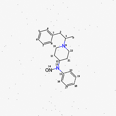 CC(Cc1ccccc1)N1CCC(N(N=O)c2ccccc2)CC1